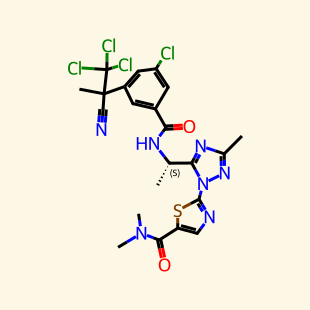 Cc1nc([C@H](C)NC(=O)c2cc(Cl)cc(C(C)(C#N)C(Cl)(Cl)Cl)c2)n(-c2ncc(C(=O)N(C)C)s2)n1